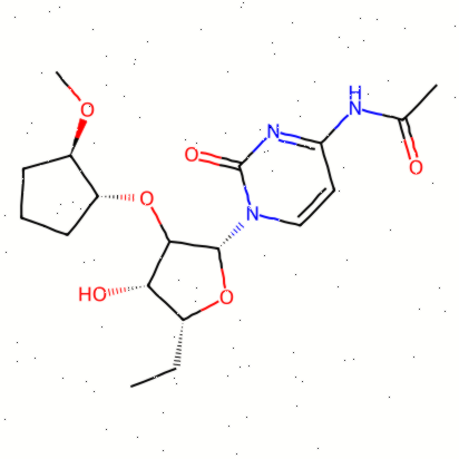 CC[C@H]1O[C@@H](n2ccc(NC(C)=O)nc2=O)C(O[C@@H]2CCC[C@H]2OC)[C@H]1O